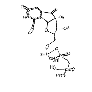 C=C(C)[C@]1(O)C(n2ccc(=O)[nH]c2=O)O[C@H](COP(O)(=S)OP(=O)(O)OP(=O)(O)O)[C@H]1O